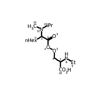 CCCCCCC(C(=O)OOCC(NCC)C(=O)O)N(C)C(C)C